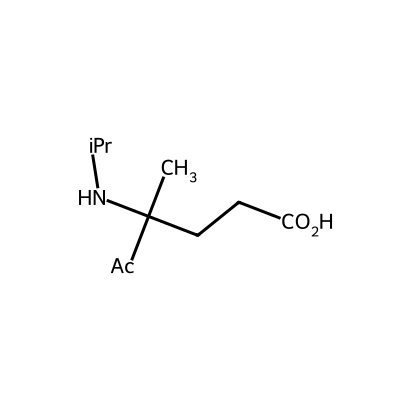 CC(=O)C(C)(CCC(=O)O)NC(C)C